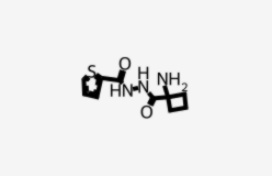 NC1(C(=O)NNC(=O)c2cccs2)CCC1